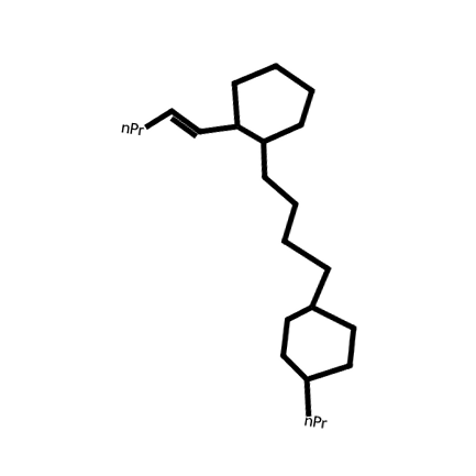 CCC/C=C/C1CCCCC1CCCCC1CCC(CCC)CC1